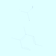 Fc1ccc(F)c([CH]CC(F)F)c1